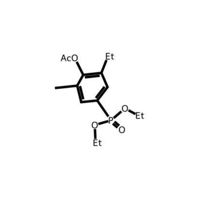 CCOP(=O)(OCC)c1cc(C)c(OC(C)=O)c(CC)c1